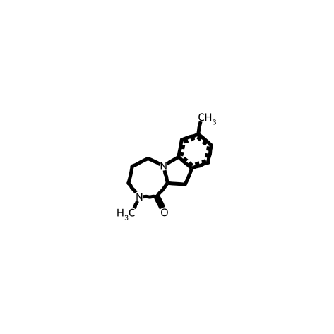 Cc1ccc2c(c1)N1CCCN(C)C(=O)C1C2